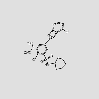 CC(C)(C)OC=O.O=S(=O)(NC1CCCCC1)c1cc(-c2c3c4c(Cl)cccc4n2-3)ccc1Cl